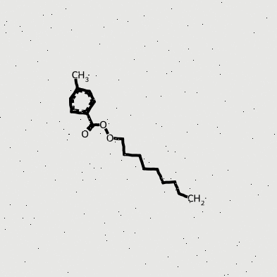 [CH2]CCCCCCCCOOC(=O)c1ccc(C)cc1